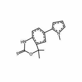 Cn1cccc1-c1ccc2c(c1)C(C)(C)OC(=S)N2